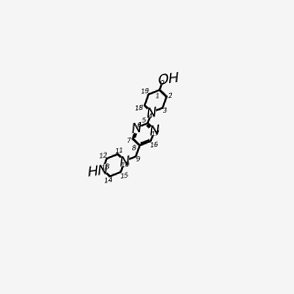 OC1CCN(c2ncc(CN3CCNCC3)cn2)CC1